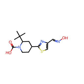 CC(C)(C)C1CC(c2nc(C=NO)cs2)CCN1C(=O)O